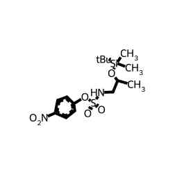 CC(CNS(=O)(=O)Oc1ccc([N+](=O)[O-])cc1)O[Si](C)(C)C(C)(C)C